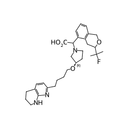 CC(C)(F)C1Cc2c(cccc2C(C(=O)O)N2CC[C@@H](OCCCCc3ccc4c(n3)NCCC4)C2)CO1